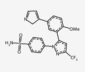 COc1ccc(C2=CC=NC2)cc1-c1cc(C(F)(F)F)nn1-c1ccc(S(N)(=O)=O)cc1